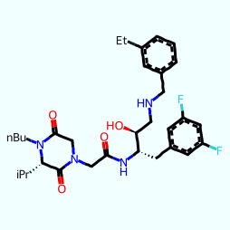 CCCCN1C(=O)CN(CC(=O)N[C@@H](Cc2cc(F)cc(F)c2)[C@@H](O)CNCc2cccc(CC)c2)C(=O)[C@@H]1C(C)C